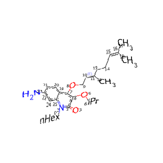 CCCCCCn1c(=O)c(OC(C)C)c(OC/C=C(\C)CCC=C(C)C)c2ccc(N)cc21